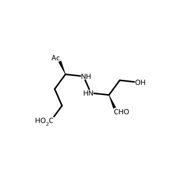 CC(=O)[C@H](CCC(=O)O)NN[C@H](C=O)CO